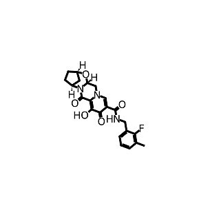 Cc1cccc(CNC(=O)c2cn3c(c(O)c2=O)C(=O)N2[C@H]4CC[C@H](C4)O[C@@H]2C3)c1F